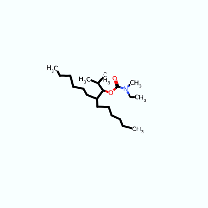 CCCCCCC(CCCCCC)C(OC(=O)N(C)CC)C(C)C